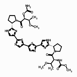 COC(=O)N[C@H](C(=O)N1CCC[C@H]1c1nc(-c2ncc(-c3cnc(-c4c[nH]c([C@@H]5CCCN5C(=O)[C@@H](OC(N)=O)[C@@H](C)OC)n4)s3)s2)c[nH]1)C(C)OC